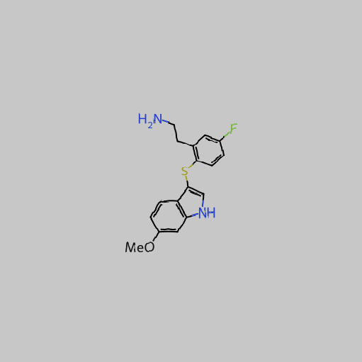 COc1ccc2c(Sc3ccc(F)cc3CCN)c[nH]c2c1